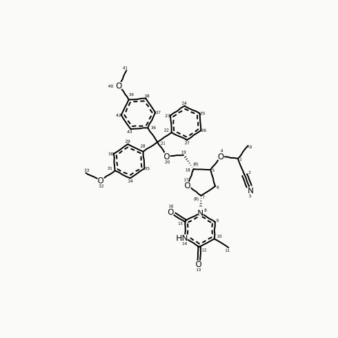 [CH2]C(C#N)OC1C[C@H](n2cc(C)c(=O)[nH]c2=O)O[C@@H]1COC(c1ccccc1)(c1ccc(OC)cc1)c1ccc(OC)cc1